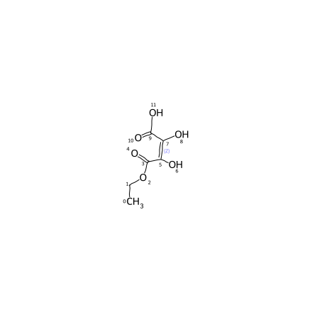 CCOC(=O)/C(O)=C(/O)C(=O)O